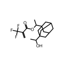 C=C(C(=O)OC(C)C12CC3CC(CC(C(C)O)(C3)C1)C2)C(F)(F)F